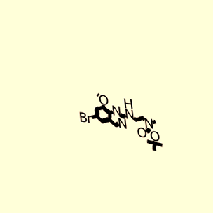 COc1cc(Br)cc2cnc(NCCN(C)C(=O)OC(C)(C)C)nc12